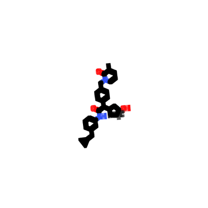 Cc1cccn(Cc2ccc(C(C(=O)Nc3cccc(CC4CC4)c3)C3CCCC3)cc2)c1=O.O=C(O)O